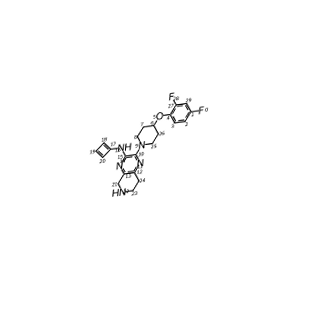 Fc1ccc(OC2CCN(c3nc4c(nc3NC3=CC=C3)CNCC4)CC2)c(F)c1